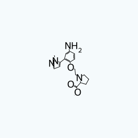 COC(=O)C1CCCN1CCOc1ccc(N)cc1-c1ccnn1C